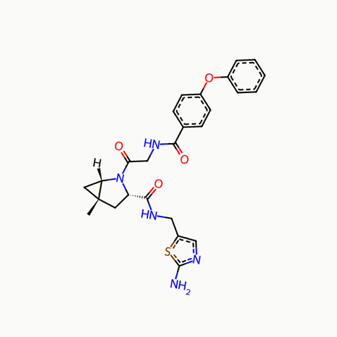 C[C@@]12C[C@@H]1N(C(=O)CNC(=O)c1ccc(Oc3ccccc3)cc1)[C@H](C(=O)NCc1cnc(N)s1)C2